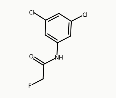 O=C(CF)Nc1cc(Cl)cc(Cl)c1